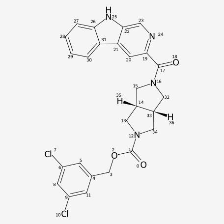 O=C(OCc1cc(Cl)cc(Cl)c1)N1C[C@@H]2CN(C(=O)c3cc4c(cn3)[nH]c3ccccc34)C[C@@H]2C1